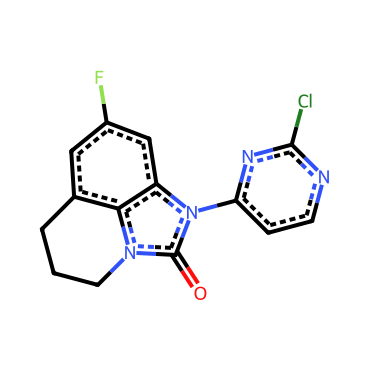 O=c1n2c3c(cc(F)cc3n1-c1ccnc(Cl)n1)CCC2